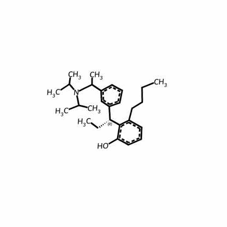 CCCCc1cccc(O)c1[C@H](CC)c1cccc(C(C)N(C(C)C)C(C)C)c1